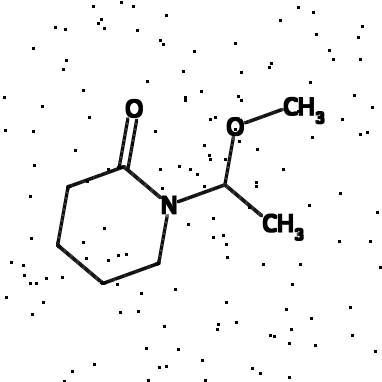 COC(C)N1CCCCC1=O